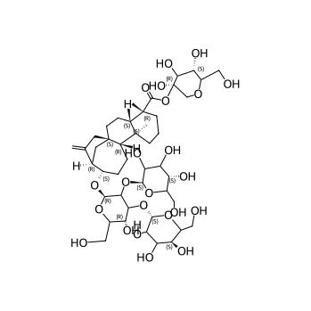 C=C1C[C@@]23CC[C@H]4[C@@](C)(CCC[C@@]4(C)C(=O)O[C@]4(O)COC(CO)[C@@H](O)C4O)[C@@H]2CC[C@H](O[C@@H]2OC(CO)[C@@H](O)C(O[C@@H]4OC(CO)[C@@H](O)C(O)C4O)C2O[C@@H]2OC(CO)[C@@H](O)C(O)C2O)[C@@H]1C3